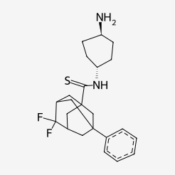 N[C@H]1CC[C@H](NC(=S)C23CC4CC(c5ccccc5)(CC(C2)C4(F)F)C3)CC1